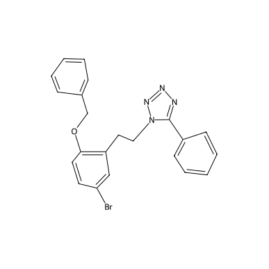 Brc1ccc(OCc2ccccc2)c(CCn2nnnc2-c2ccccc2)c1